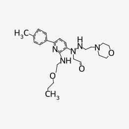 CCCOCCNc1nc(-c2ccc(C)cc2)ccc1N(CC=O)NCCN1CCOCC1